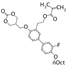 C=C(C)C(=O)OCCc1cc(-c2ccc(OCCCCCCCC)c(F)c2)ccc1OCC1COC(=O)OC1